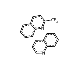 FC(F)(F)c1ccc2ccccc2n1.c1ccc2ncccc2c1